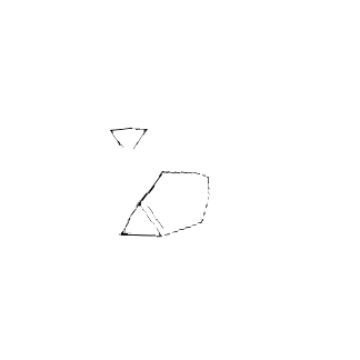 C1CC2=C(C1)C2.C1CO1.[SiH4]